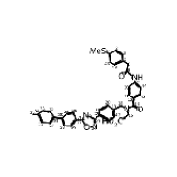 CSc1ccc(CC(=O)Nc2ccc(C(=O)N(CC(=O)O)Cc3ccc(-c4noc(-c5ccc(-c6ccc(C)cc6)cc5)n4)cc3)cc2)cc1